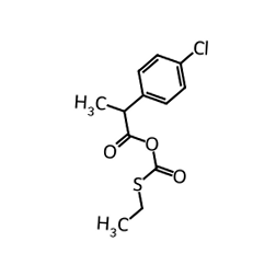 CCSC(=O)OC(=O)C(C)c1ccc(Cl)cc1